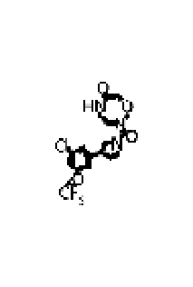 O=C1COCN(C(=O)N2CCC(c3cc(Cl)cc(OCC(F)(F)F)c3)C2)CCN1